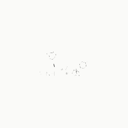 CC(=O)NC(C#Cc1cncnc1)C[C@H]1CCC2=C1[C@@H](C)c1cnn(-c3ccc(F)cc3)c1C2